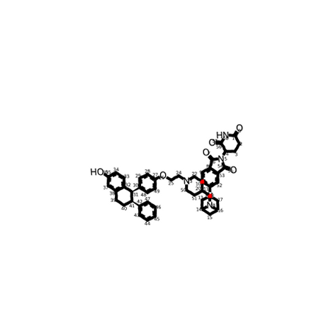 O=C1CCC(N2C(=O)c3ccc(N4CC5CC(C4)N5CC4CCN(CCOc5ccc([C@@H]6c7ccc(O)cc7CC[C@@H]6c6ccccc6)cc5)CC4)cc3C2=O)C(=O)N1